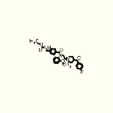 CCOC(=O)NCc1ccc(C(=O)N(CCN2CCC(C(=O)c3ccc(F)cc3)CC2)c2ccccc2OC)cc1